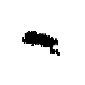 CC(=O)N[C@H]1C(O[C@@H]2OC(CO)[C@H](O)C(O)[C@@H]2O[C@@H]2OC(CN=[N+]=[N-])[C@@H](O)C(O)[C@@H]2O)[C@@H](O)C(CO)O[C@H]1O[C@@H]1C(O)[C@@H](O[C@H]2C(CO)O[C@@H](O[C@@H]3C(CO)O[C@@H](OCCCCCN)C(O)C3O)[C@@H](O)C2O)OC(CO)[C@@H]1O